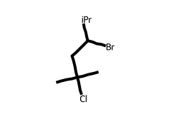 CC(C)C(Br)CC(C)(C)Cl